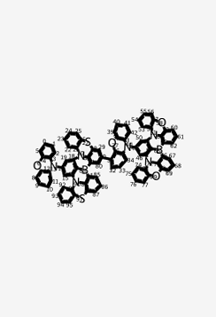 c1ccc2c(c1)Oc1ccccc1N2c1cc2c3c(c1)N1c4ccccc4Sc4cc(-c5cccc6c5Oc5ccccc5N6c5cc6c7c(c5)N5c8ccccc8Oc8cccc(c85)B7c5cccc7c5N6c5ccccc5O7)cc(c41)B3c1cccc3c1N2c1ccccc1S3